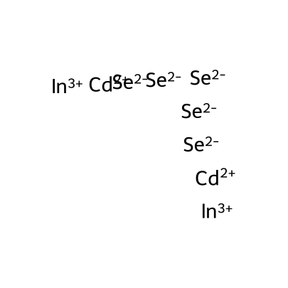 [Cd+2].[Cd+2].[In+3].[In+3].[Se-2].[Se-2].[Se-2].[Se-2].[Se-2]